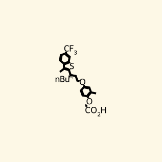 CCCC[C@H](CCOc1ccc(OCC(=O)O)c(C)c1)c1sc2cc(C(F)(F)F)ccc2c1C